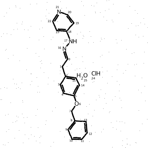 C(Cc1ccc(OCc2ccccc2)cc1)=NNc1ccncc1.Cl.O